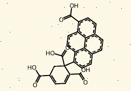 O=C(O)C1=CC=C(C(=O)O)C(C(=O)O)(c2ccc3ccc4ccc(C(=O)O)c5ccc2c3c45)C1